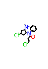 CN(C)C1CC(Cl)CC1N(C(=O)C=CCl)c1ccccc1